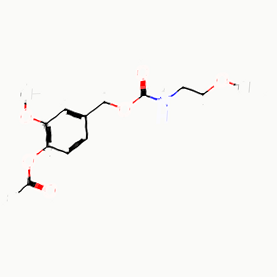 COCCNC(=O)OCc1ccc(OC(C)=O)c(OC)c1